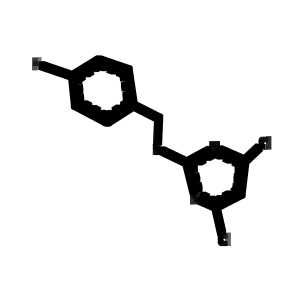 Fc1ccc(CSc2nc(Cl)cc(Cl)n2)cc1